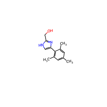 Cc1cc(C)c(-c2c[nH]c(CO)n2)c(C)c1